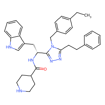 CCc1ccc(Cn2c(CCc3ccccc3)nnc2[C@@H](Cc2c[nH]c3ccccc23)NC(=O)C2CCNCC2)cc1